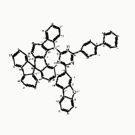 c1ccc(-c2ccc(-c3nc(-c4ccc5c(c4)oc4ccccc45)nc(-n4c5ccccc5c5ccc6c(c54)-c4ccccc4C64c5ccccc5-c5ccccc54)n3)cc2)cc1